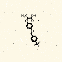 CC(Oc1ccc(OCc2ccc(C(F)(F)F)cc2)cc1)C(=O)O